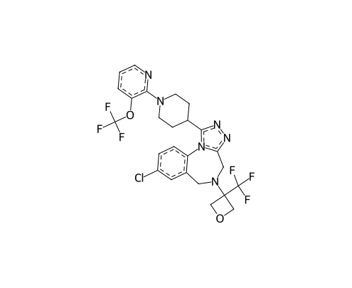 FC(F)(F)Oc1cccnc1N1CCC(c2nnc3n2-c2ccc(Cl)cc2CN(C2(C(F)(F)F)COC2)C3)CC1